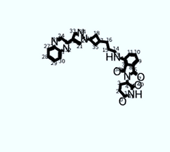 O=C1CCC(N2C(=O)c3cccc(NCCCC4CC(n5cc(-c6cnc7ccccc7n6)cn5)C4)c3C2=O)C(=O)N1